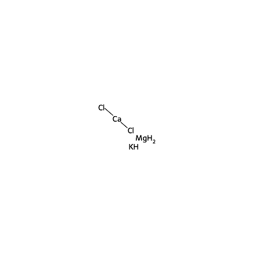 [Cl][Ca][Cl].[KH].[MgH2]